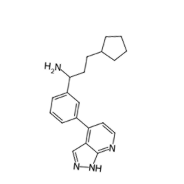 NC(CCC1CCCC1)c1cccc(-c2ccnc3[nH]ncc23)c1